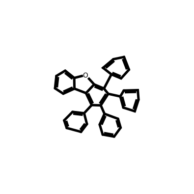 c1ccc(-c2c(-c3ccccc3)c(-c3ccccc3)c3c(oc4ccccc43)c2-c2ccccc2)cc1